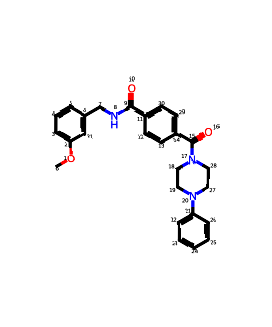 COc1cccc(CNC(=O)c2ccc(C(=O)N3CCN(c4ccccc4)CC3)cc2)c1